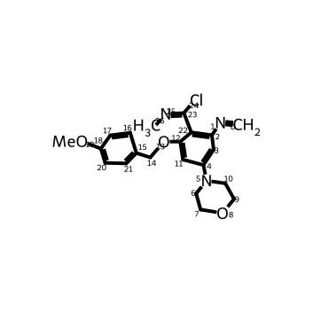 C=Nc1cc(N2CCOCC2)cc(OCc2ccc(OC)cc2)c1/C(Cl)=N\C